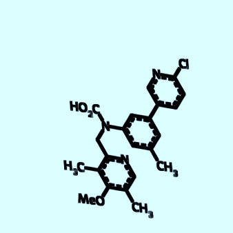 COc1c(C)cnc(CN(C(=O)O)c2cc(C)cc(-c3ccc(Cl)nc3)c2)c1C